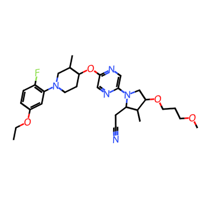 CCOc1ccc(F)c(N2CCC(Oc3cnc(N4CC(OCCCOC)C(C)C4CC#N)cn3)C(C)C2)c1